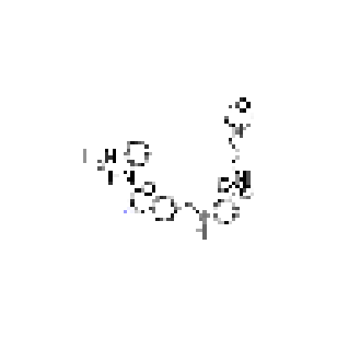 Nc1ccccc1NC(=O)/C=C\c1ccc(CNc2cccc(S(=O)(=O)NCCCN3CCOCC3)c2)cc1